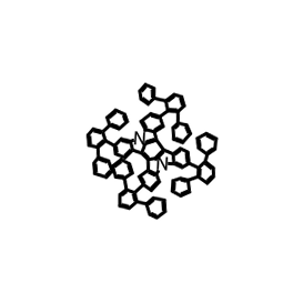 c1ccc(-c2cccc(-c3ccccc3)c2-c2ccc3c(c2)c2c4c5ccc(-c6c(-c7ccccc7)cccc6-c6ccccc6)cc5n5c6ccc(-c7c(-c8ccccc8)cccc7-c7ccccc7)cc6c(c6c7ccc(-c8c(-c9ccccc9)cccc8-c8ccccc8)cc7n3c26)c45)cc1